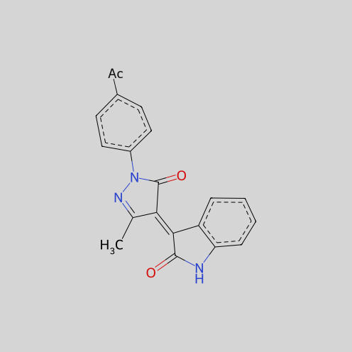 CC(=O)c1ccc(N2N=C(C)/C(=C3\C(=O)Nc4ccccc43)C2=O)cc1